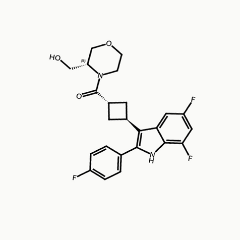 O=C([C@H]1C[C@H](c2c(-c3ccc(F)cc3)[nH]c3c(F)cc(F)cc32)C1)N1CCOC[C@H]1CO